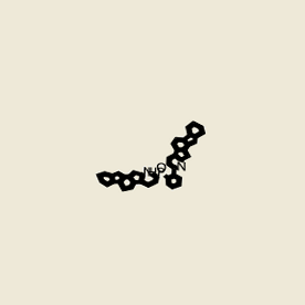 O=[PH](c1ccc2c(n1)C=c1c-2ccc2c1=Cc1ccccc1-2)c1ccccc1-c1ccc2c(n1)C=c1c-2ccc2c1=Cc1ccccc1-2